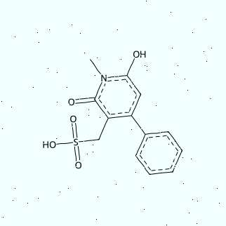 Cn1c(O)cc(-c2ccccc2)c(CS(=O)(=O)O)c1=O